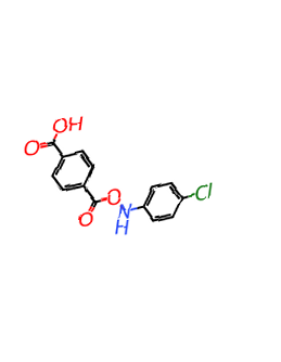 O=C(O)c1ccc(C(=O)ONc2ccc(Cl)cc2)cc1